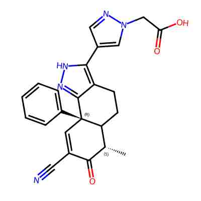 C[C@@H]1C(=O)C(C#N)=C[C@]2(c3ccccc3)c3n[nH]c(-c4cnn(CC(=O)O)c4)c3CCC12